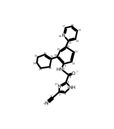 N#Cc1c[nH]c(C(=O)Nc2ccc(-c3ccccn3)cc2C2=CCCCC2)n1